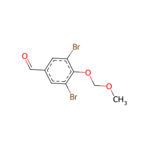 COCOc1c(Br)cc(C=O)cc1Br